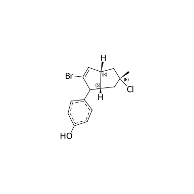 C[C@]1(Cl)C[C@H]2C=C(Br)C(c3ccc(O)cc3)[C@H]2C1